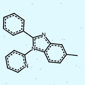 Cc1ccc2c(c1)nc(-c1ccccc1)n2-c1ccccn1